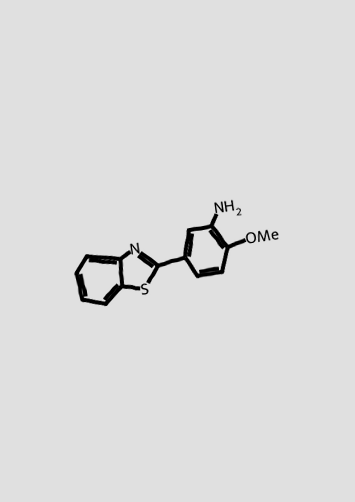 COc1ccc(-c2nc3ccccc3s2)cc1N